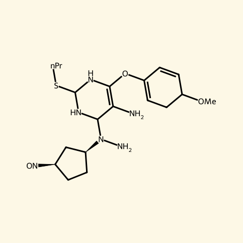 CCCSC1NC(OC2=CCC(OC)C=C2)=C(N)C(N(N)[C@H]2CC[C@@H](N=O)C2)N1